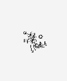 COCCOC(=O)N([C@@H](CO)C(=O)N[C@@H](C)C(=O)C(CC[C@H](N)C=O)NC(=N)N)S(=O)(=O)CCc1ccccc1